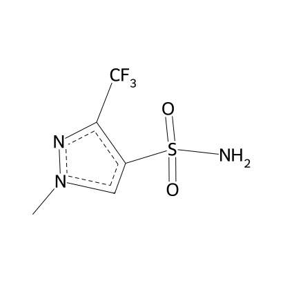 Cn1cc(S(N)(=O)=O)c(C(F)(F)F)n1